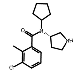 Cc1c(Cl)cccc1C(=O)N(C1CCCC1)[C@H]1CCNC1